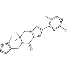 Cc1cnc(Cl)nc1-c1cc2n(c1)CC(C)(C)N(Cc1ccnn1C)C2=O